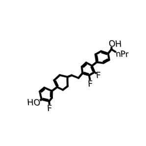 CCCC(O)c1ccc(-c2ccc(CCC3CC=C(c4ccc(O)c(F)c4)CC3)c(F)c2F)cc1